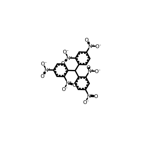 O=[N+]([O-])c1ccc(C(c2ccc([N+](=O)[O-])cc2[N+](=O)[O-])c2ccc([N+](=O)[O-])cc2[N+](=O)[O-])c([N+](=O)[O-])c1